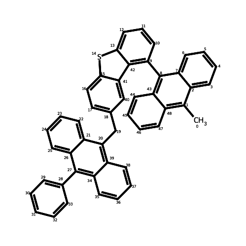 Cc1c2ccccc2c(-c2cccc3sc4ccc(Cc5c6ccccc6c(-c6ccccc6)c6ccccc56)cc4c23)c2ccccc12